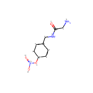 NCC(=O)NCC1CCC(O[N+](=O)[O-])CC1